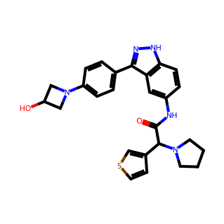 O=C(Nc1ccc2[nH]nc(-c3ccc(N4CC(O)C4)cc3)c2c1)C(c1ccsc1)N1CCCC1